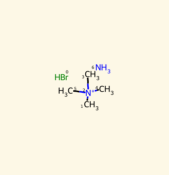 Br.C[N+](C)(C)C.N